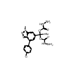 Cn1nnc2c(-c3ccc(Cl)cc3)cc(C(OC(=O)NN)(OC(=O)NN)C(C)(C)C)cc21